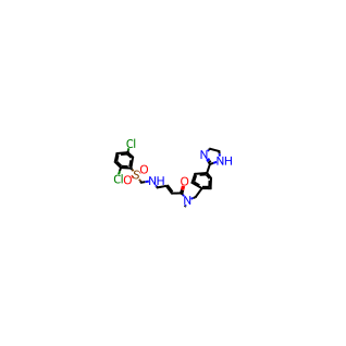 CN(Cc1ccc(C2=NCCN2)cc1)C(=O)/C=C/CNCS(=O)(=O)c1cc(Cl)ccc1Cl